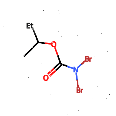 CCC(C)OC(=O)N(Br)Br